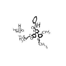 CCCOc1ccc(C)c(-c2ccc(C(=O)NC3CCCCC3)nc2-c2ccc(Cl)c(OCCCN(C)C)c2)c1.Cl.O=C(O)O